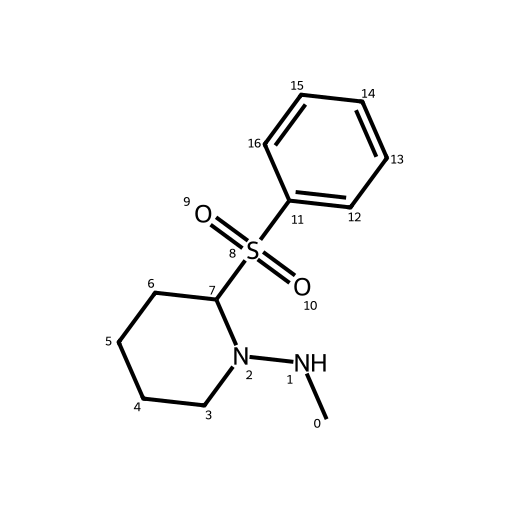 CNN1CCCCC1S(=O)(=O)c1ccccc1